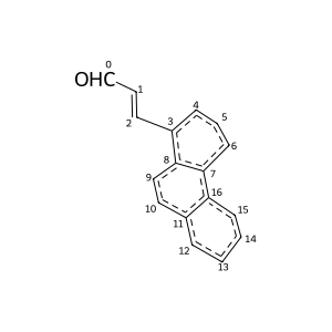 O=CC=Cc1cccc2c1ccc1ccccc12